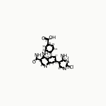 NC(=O)c1cnc2cc(-c3cnc(Cl)nc3N)ccc2c1Nc1cccc(C(=O)O)c1